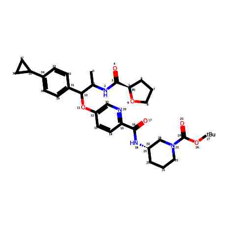 CC(NC(=O)[C@H]1CCCO1)C(Oc1ccc(C(=O)N[C@H]2CCCN(C(=O)OC(C)(C)C)C2)nc1)c1ccc(C2CC2)cc1